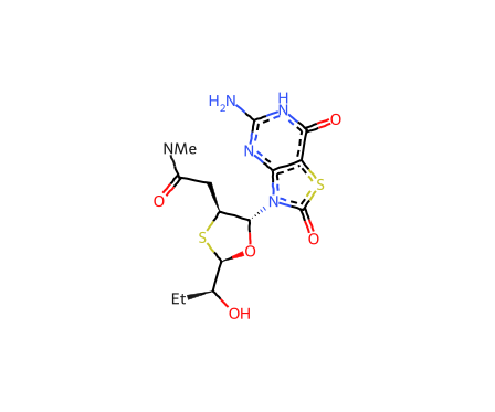 CC[C@H](O)[C@@H]1O[C@@H](n2c(=O)sc3c(=O)[nH]c(N)nc32)[C@H](CC(=O)NC)S1